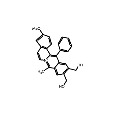 COc1ccc2c(cc[n+]3c(C)c4cc(CO)c(CO)cc4c(-c4ccccc4)c23)c1